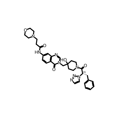 O=C(CCN1CCOCC1)Nc1ccc2c(=O)n(CC3(O)CCN(C(=O)[C@H](Cc4ccccc4)n4ccnn4)CC3)cnc2c1